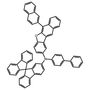 c1ccc(-c2ccc(N(c3ccc4c(c3)C3(c5ccccc5-c5ccccc53)c3ccccc3-4)c3ccc4oc5c(-c6ccc7ccccc7c6)c6ccccc6cc5c4c3)cc2)cc1